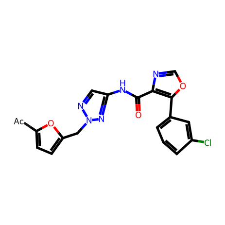 CC(=O)c1ccc(Cn2ncc(NC(=O)c3ncoc3-c3cccc(Cl)c3)n2)o1